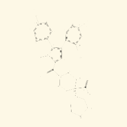 Cn1c(C(=O)N2CCC(C(N)=O)(N3CCCCC3)CC2)cc(-c2ccc(Cl)cc2Cl)c1-c1ccc(Cl)cc1